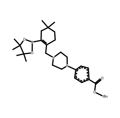 CC1(C)CCC(CN2CCN(c3ccc(C(=O)OC(C)(C)C)cc3)CC2)=C(B2OC(C)(C)C(C)(C)O2)C1